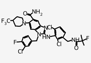 CC(C)(F)C(=O)NCc1ccc(Cl)c(Nc2nc3cc(C(N)=O)c(N4CCC(C(F)(F)F)CC4)cc3n2Cc2ccc(F)c(Cl)c2)c1Cl